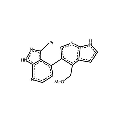 COCc1c(-c2ccnc3[nH]nc(C(C)C)c23)cnc2[nH]ccc12